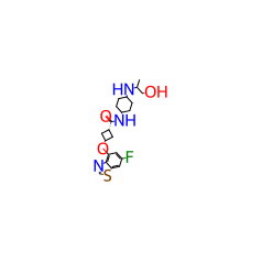 CC(CO)N[C@H]1CC[C@H](NC(=O)[C@H]2C[C@H](Oc3cc(F)cc4scnc34)C2)CC1